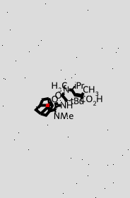 CN[C@H](C(=O)N[C@H](C(=O)N(C)[C@H](/C=C(\C)C(=O)O)C(C)C)C(C)(C)C)C12CC3CC(CC(C3)C1)C2